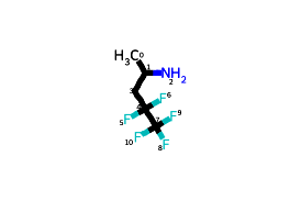 CC(N)CC(F)(F)C(F)(F)F